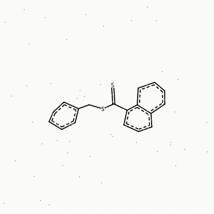 S=C(SCc1ccccc1)c1cccc2ccccc12